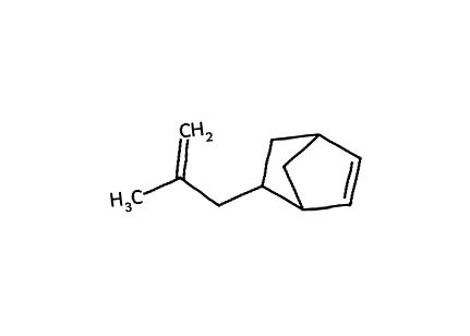 C=C(C)CC1CC2C=CC1C2